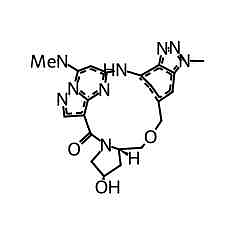 CNc1cc2nc3c(cnn13)C(=O)N1C[C@H](O)C[C@H]1COCc1cc(c3nnn(C)c3c1)N2